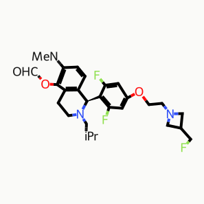 CNc1ccc2c(c1OC=O)CCN(CC(C)C)[C@@H]2c1c(F)cc(OCCN2CC(CF)C2)cc1F